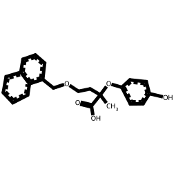 CC(CCOCc1cccc2ccccc12)(Oc1ccc(O)cc1)C(=O)O